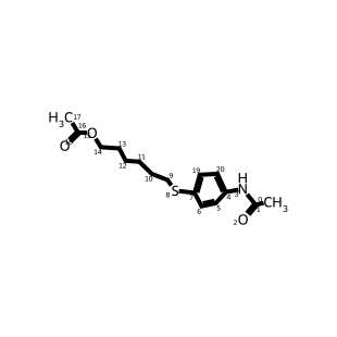 CC(=O)Nc1ccc(SCCCCCCOC(C)=O)cc1